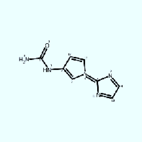 NC(=O)NC1=CS(=C2N=CC=N2)C=C1